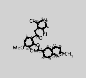 COc1ccc(C(=O)Cc2c(Cl)cncc2Cl)c(OCc2ccc3nc(C)ccc3c2)c1OC